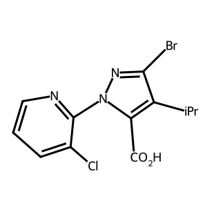 CC(C)c1c(Br)nn(-c2ncccc2Cl)c1C(=O)O